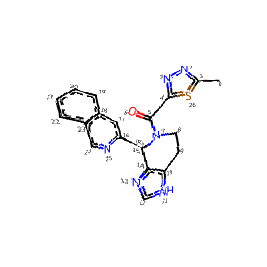 Cc1nnc(C(=O)N2CCc3[nH]cnc3[C@H]2c2cc3ccccc3cn2)s1